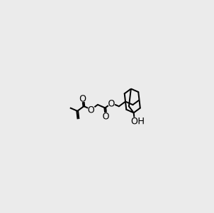 C=C(C)C(=O)OCC(=O)OCC12CC3CC(CC(O)(C3)C1)C2